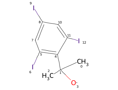 CC(C)([O])c1c(I)cc(I)cc1I